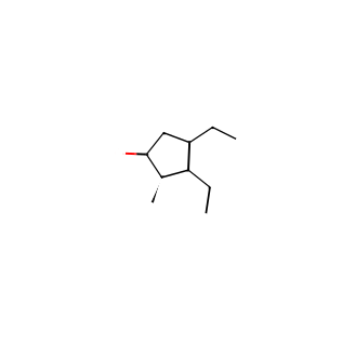 CCC1CC(O)[C@H](C)C1CC